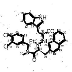 CCN(N[C@@H](Cc1c[nH]c2ccccc12)C(=O)O)[C@@H](Cc1ccc2ccccc2c1)C(=O)N(C)Cc1ccc(Cl)c(Cl)c1